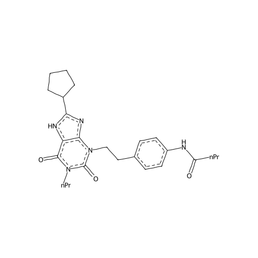 CCCC(=O)Nc1ccc(CCn2c(=O)n(CCC)c(=O)c3[nH]c(C4CCCC4)nc32)cc1